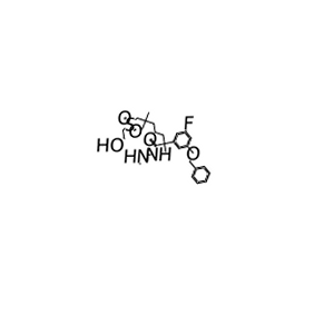 CNNC(=O)C(C)(CCCC(C)(C)CS(=O)(=O)CCO)c1cc(F)cc(OCc2ccccc2)c1